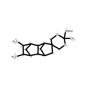 CCCCCC1(C)OCC2(CO1)CC1CC2C2C3CC(C(C)C3C)C12